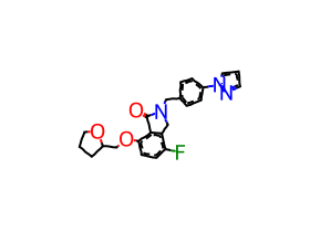 O=C1c2c(OCC3CCCO3)ccc(F)c2CN1Cc1ccc(-n2cccn2)cc1